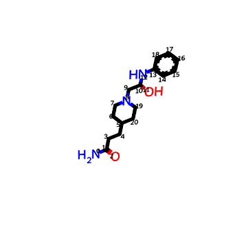 NC(=O)CCC1CCN(CC(O)Nc2ccccc2)CC1